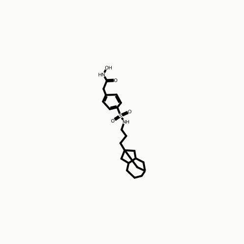 O=C(Cc1ccc(S(=O)(=O)NCCCC23CC4CCCC(C2)C(C4)C3)cc1)NO